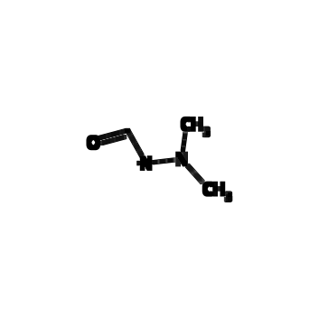 CN(C)[N]C=O